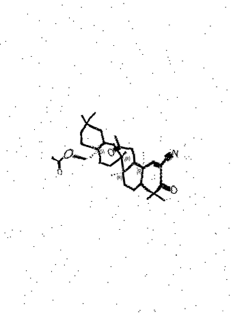 CC(=O)CC1[C@@]2(C)C=C(C#N)C(=O)C(C)(C)C2CC[C@@]1(C)[C@]1(C)CC[C@@]2(COC(C)=O)CCC(C)(C)CC2C1